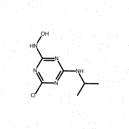 CC(C)Nc1nc(Cl)nc(NO)n1